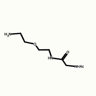 CC(=O)NCC(=O)NCCOCCN